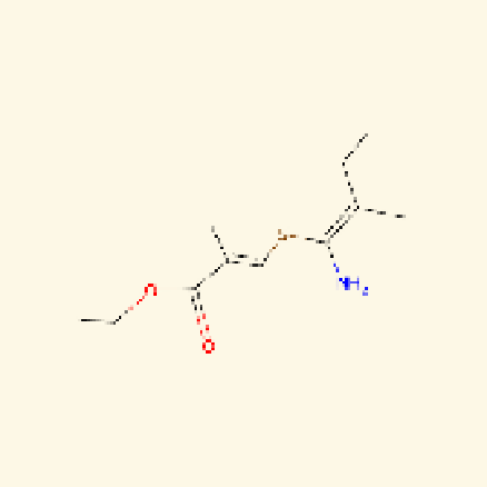 CCOC(=O)/C(C)=C/S/C(N)=C(/C)CC